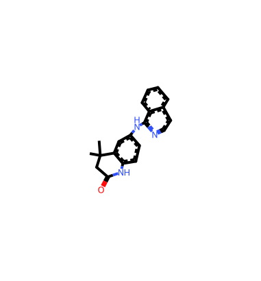 CC1(C)CC(=O)Nc2ccc(Nc3nccc4ccccc34)cc21